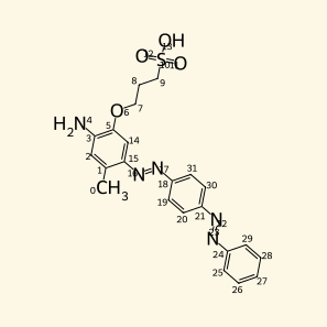 Cc1cc(N)c(OCCCS(=O)(=O)O)cc1N=Nc1ccc(N=Nc2ccccc2)cc1